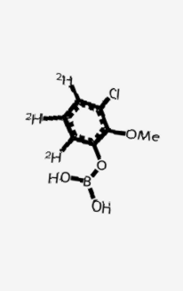 [2H]c1c([2H])c(Cl)c(OC)c(OB(O)O)c1[2H]